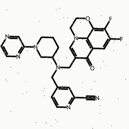 N#Cc1cc(CN(Cc2cn3c4c(c(F)c(F)cc4c2=O)OCC3)C2CCCN(c3cnccn3)C2)ccn1